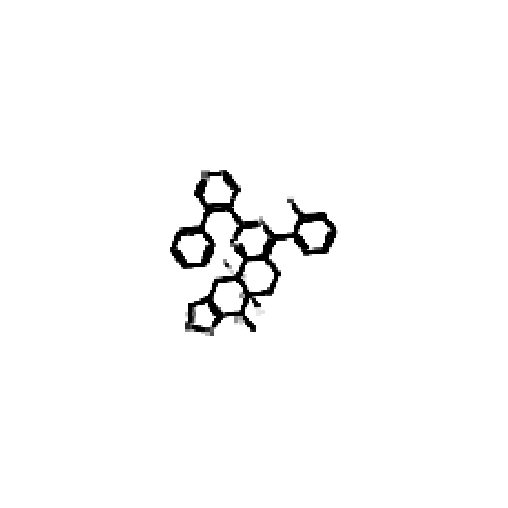 C[C@H]1c2oncc2C[C@@]2(C)c3nc(-c4ccncc4-c4ccccc4)nc(-c4ccccc4F)c3CC[C@H]12